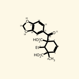 CCC1C(C)(C(=O)O)C=CCC1(C(=O)O)C(=O)c1ccc2c(c1)OCO2